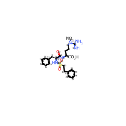 N=C(N)N(CCCC(NC(=O)[C@H](Cc1ccccc1)NS(=O)(=O)CCc1ccccc1)C(=O)O)[N+](=O)[O-]